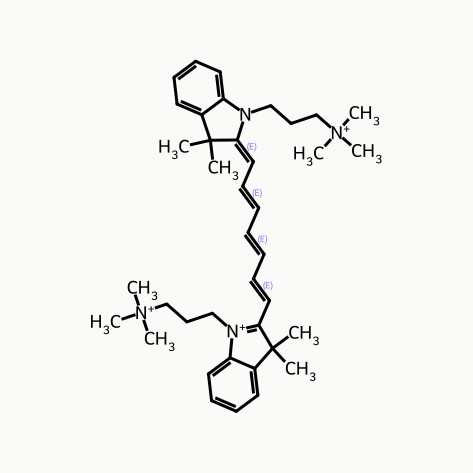 CC1(C)C(/C=C/C=C/C=C/C=C2/N(CCC[N+](C)(C)C)c3ccccc3C2(C)C)=[N+](CCC[N+](C)(C)C)c2ccccc21